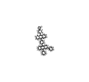 COc1ccc(-c2c3ccccc3c(-c3ccc(-c4c5ccccc5c(-c5ccccc5)c5cc(-c6ccccc6)ccc45)cc3)c3ccccc23)cc1